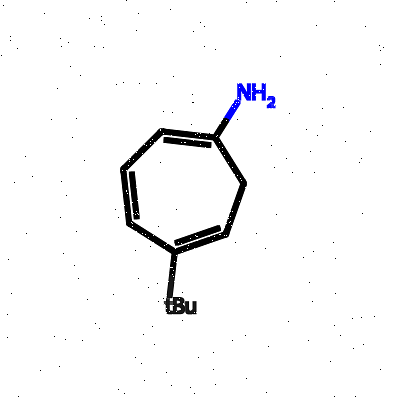 CC(C)(C)C1=CCC(N)=CC=C1